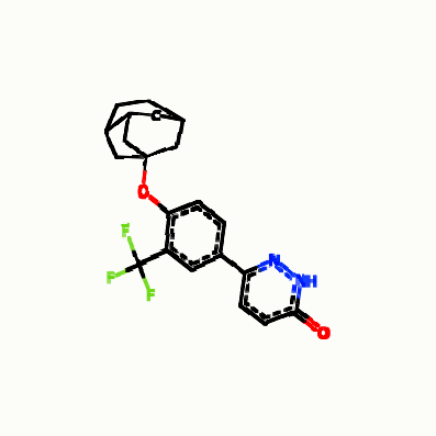 O=c1ccc(-c2ccc(OC34CC5CCC(C3)C(C5)C4)c(C(F)(F)F)c2)n[nH]1